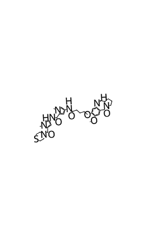 COc1cc2c(cc1OCCCC(=O)Nc1cc(C(=O)Nc3cc(C(=O)N4CCSCC4)n(C)c3)n(C)c1)N=C[C@@H]1CCCN1C2=O